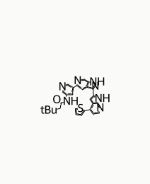 CC(C)(C)CC(=O)Nc1cncc(-c2cc3c(-c4cc5c(-c6cccs6)ccnc5[nH]4)n[nH]c3cn2)c1